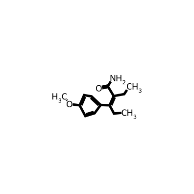 CCC(C(N)=O)=C(CC)c1ccc(OC)cc1